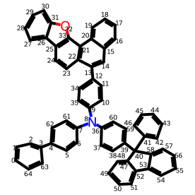 c1ccc(-c2ccc(N(c3ccc(-c4cc5ccccc5c5c4ccc4c6ccccc6oc45)cc3)c3ccc(C4(c5ccccc5)c5ccccc5-c5ccccc54)cc3)cc2)cc1